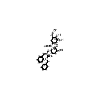 [N-]=[N+]=NC1CC(N=[N+]=[N-])[C@H](O)[C@@H](O)[C@@H]1O[C@H]1O[C@H](CN(Cc2ccccc2)C(=O)OCc2ccccc2)CC[C@H]1O